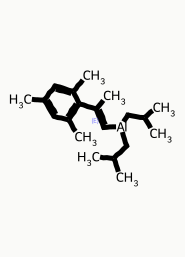 C/C(=[CH]\[Al]([CH2]C(C)C)[CH2]C(C)C)c1c(C)cc(C)cc1C